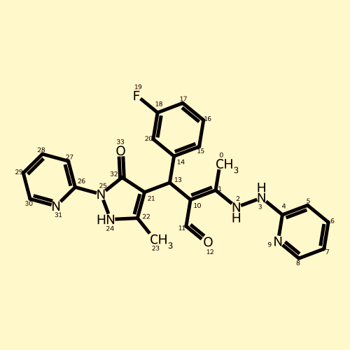 C/C(NNc1ccccn1)=C(/C=O)C(c1cccc(F)c1)c1c(C)[nH]n(-c2ccccn2)c1=O